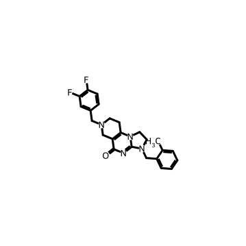 Cc1ccccc1CN1CCn2c1nc(=O)c1c2CCN(Cc2ccc(F)c(F)c2)C1